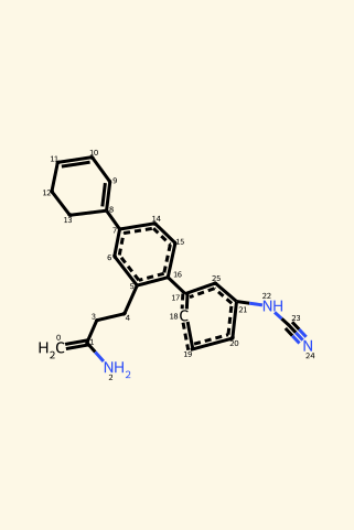 C=C(N)CCc1cc(C2=CC=CCC2)ccc1-c1cccc(NC#N)c1